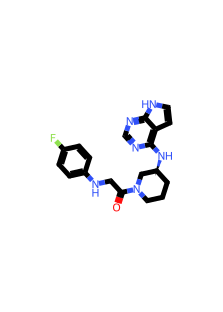 O=C(CNc1ccc(F)cc1)N1CCC[C@H](Nc2ncnc3[nH]ccc23)C1